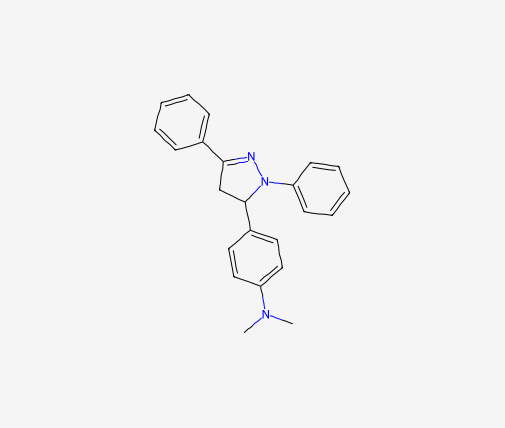 CN(C)c1ccc(C2CC(c3ccccc3)=NN2c2ccccc2)cc1